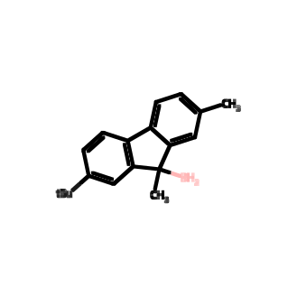 BC1(C)c2cc(C)ccc2-c2ccc(C(C)(C)C)cc21